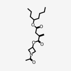 C=C(CC(=O)OC(CCC)CCCC)C(=O)OC1CN(C(C)=O)C1